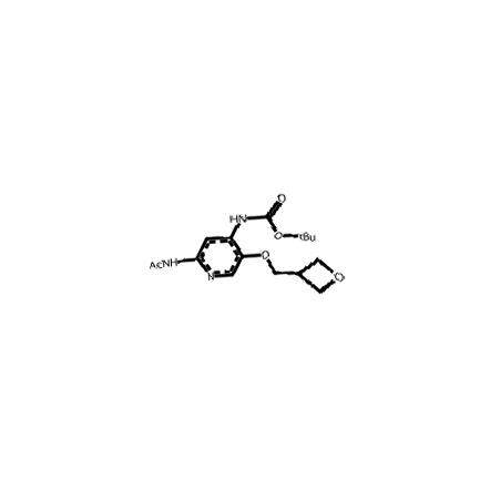 CC(=O)Nc1cc(NC(=O)OC(C)(C)C)c(OCC2COC2)cn1